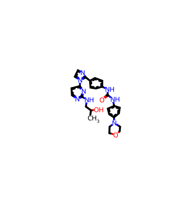 CC(O)CNc1nccc(-n2ccnc2-c2ccc(NC(=O)Nc3ccc(N4CCOCC4)cc3)cc2)n1